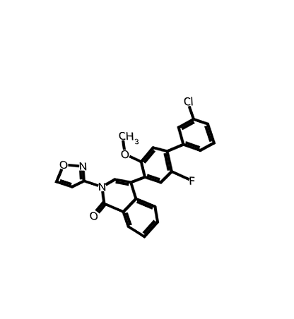 COc1cc(-c2cccc(Cl)c2)c(F)cc1-c1cn(-c2ccon2)c(=O)c2ccccc12